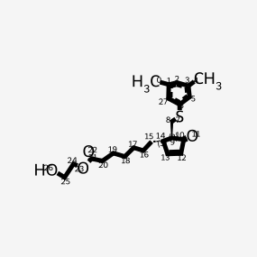 Cc1cc(C)cc(SC[C@H]2C(=O)C=C[C@@H]2CCCCCCC(=O)OCCO)c1